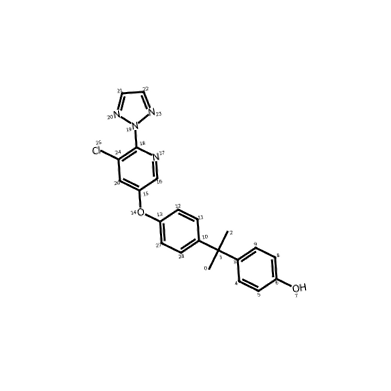 CC(C)(c1ccc(O)cc1)c1ccc(Oc2cnc(-n3nccn3)c(Cl)c2)cc1